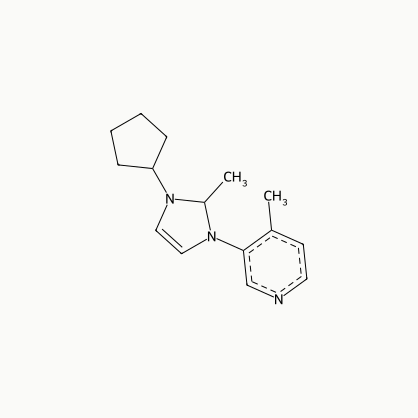 Cc1ccncc1N1C=CN(C2CCCC2)C1C